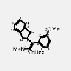 CCCCCCC(NC)=C(c1cccc(OC)c1)C1Cc2ccccc2C1